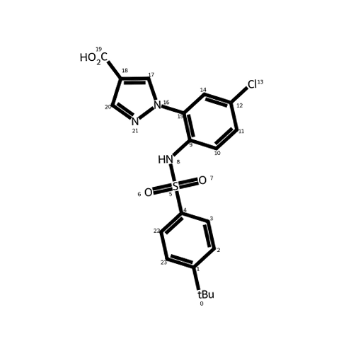 CC(C)(C)c1ccc(S(=O)(=O)Nc2ccc(Cl)cc2-n2cc(C(=O)O)cn2)cc1